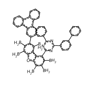 Bc1c(-c2ccc3c4ccccc4c4ccccc4c3c2)c(B)c2c(oc3c(B)c(B)c(B)c(-c4nc(-c5ccccc5)nc(-c5cccc(-c6ccccc6)c5)n4)c32)c1B